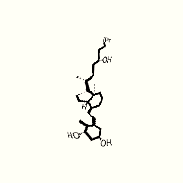 C=C1/C(=C\C=C2/CCC[C@]3(C)[C@@H]([C@H](C)/C=C/[C@@H](O)CCC(C)C)CC[C@@H]23)C[C@@H](O)C[C@@H]1O